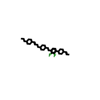 C/C=C/C1CCC(c2ccc(CCC3CCC(CC/C=C/C4CCC(CCC)CC4)CC3)c(F)c2F)CC1